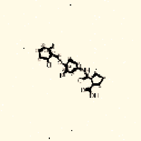 O=C(O)C1CCCC1C(=O)Nc1ccc(OCc2c(F)cccc2Cl)c(F)c1